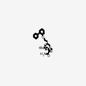 CC(C)(C)[Si](C)(C)O[C@@H](CCCOc1ccccc1-c1ccccc1)Cn1cnc(C(N)=O)c1